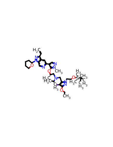 C=Cc1nn(C2CCCCO2)c2cnc(-c3cnn(C)c3O[C@@H](C)CN(Cc3c(I)c(OCC)nn3CCO[Si](C)(C)C(C)(C)C)C(C)C)cc12